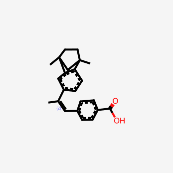 C/C(=C/c1ccc(C(=O)O)cc1)c1ccc2c(c1)C1(C)CCC2(C)C1